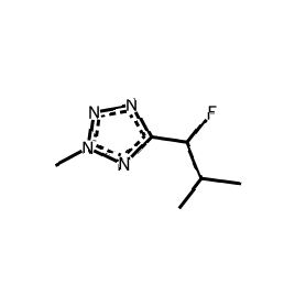 CC(C)C(F)c1nnn(C)n1